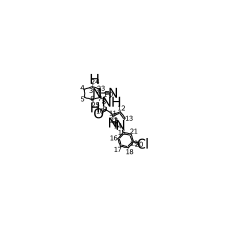 N#CN1[C@H]2CC[C@@H]1[C@H](NC(=O)c1ccn(-c3cccc(Cl)c3)n1)C2